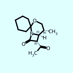 CC(=O)[C@@H]1C(=O)N2[C@H]1[C@@H](C)COC21CCCCC1